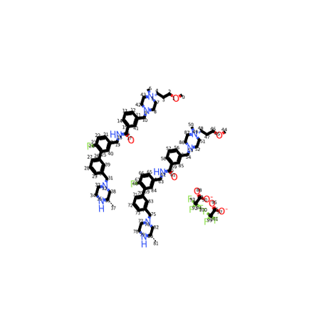 COCCC[N+]1(C)CCN(Cc2cccc(C(=O)NCc3ccc(F)c(-c4cccc(CN5CCN[C@@H](C)C5)c4)c3)c2)CC1.COCCC[N+]1(C)CCN(Cc2cccc(C(=O)NCc3ccc(F)c(-c4cccc(CN5CCN[C@@H](C)C5)c4)c3)c2)CC1.O=C([O-])C(F)(F)F.O=C([O-])C(F)(F)F